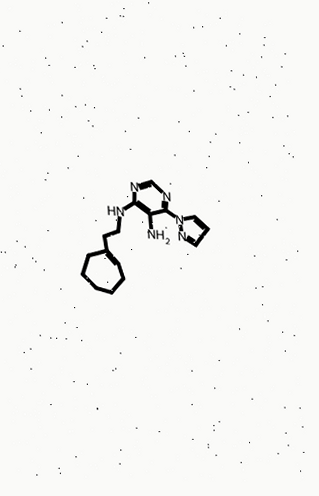 Nc1c(NCCC2=CCCCCC2)ncnc1-n1cccn1